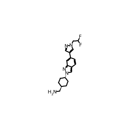 NC[C@H]1CC[C@H](n2cc3ccc(-c4cnn(CC(F)F)c4)cc3n2)CC1